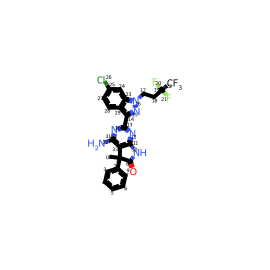 CC1(c2ccccc2)C(=O)Nc2nc(-c3nn(CCC(F)(F)C(F)(F)F)c4cc(Cl)ccc34)nc(N)c21